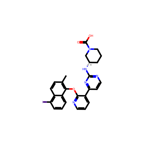 Cc1ccc2c(I)cccc2c1Oc1ncccc1-c1ccnc(N[C@H]2CCCN(C(=O)O)C2)n1